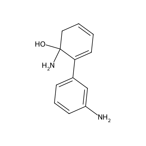 Nc1cccc(C2=CC=CCC2(N)O)c1